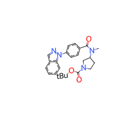 CN(C(=O)c1ccc(-n2ncc3ccccc32)cc1)C1CCN(C(=O)OC(C)(C)C)C1